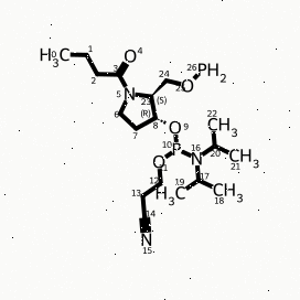 CCCC(=O)N1CC[C@@H](OP(OCCC#N)N(C(C)C)C(C)C)[C@@H]1COP